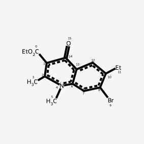 CCOC(=O)c1c(C)n(C)c2cc(Br)c(CC)cc2c1=O